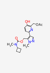 CC(=O)OCc1nc(-c2cnn(C)c2COC(=O)N(C)C2CCC2)ccc1O